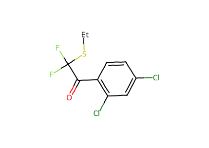 CCSC(F)(F)C(=O)c1ccc(Cl)cc1Cl